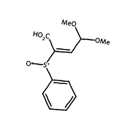 COC(C=C(C(=O)O)[S+]([O-])c1ccccc1)OC